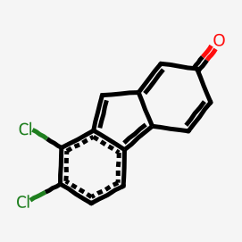 O=C1C=CC2=c3ccc(Cl)c(Cl)c3=CC2=C1